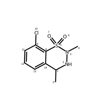 CC1NN(C)S(=O)(=O)c2c(Cl)cccc21